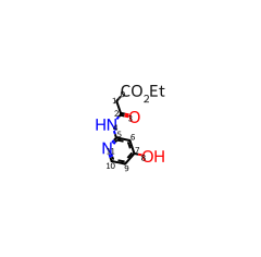 CCOC(=O)CC(=O)Nc1cc(O)ccn1